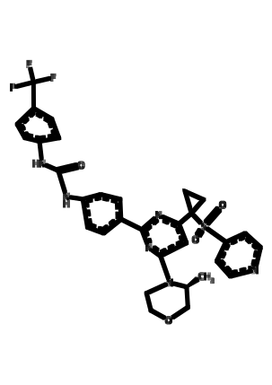 C[C@H]1COCCN1c1cc(C2(S(=O)(=O)c3ccncc3)CC2)nc(-c2ccc(NC(=O)Nc3ccc(C(F)(F)F)cc3)cc2)n1